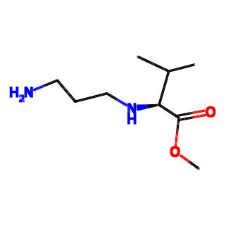 COC(=O)[C@@H](NCCCN)C(C)C